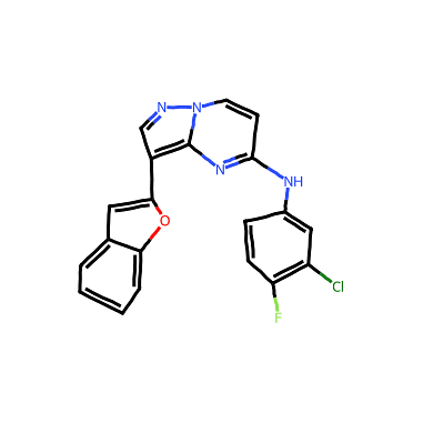 Fc1ccc(Nc2ccn3ncc(-c4cc5ccccc5o4)c3n2)cc1Cl